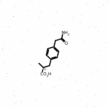 C[C@@H](Cc1ccc(CC(N)=O)cc1)C(=O)O